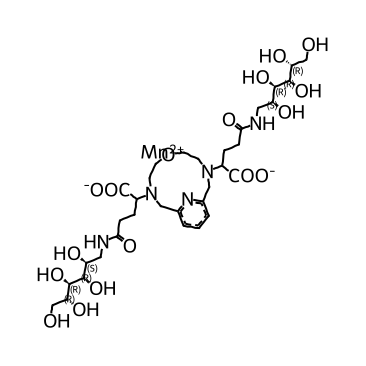 O=C(CCC(C(=O)[O-])N1CCOCCN(C(CCC(=O)NC[C@H](O)[C@@H](O)[C@H](O)[C@H](O)CO)C(=O)[O-])Cc2cccc(n2)C1)NC[C@H](O)[C@@H](O)[C@H](O)[C@H](O)CO.[Mn+2]